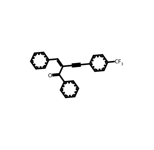 O=C(C(C#Cc1ccc(C(F)(F)F)cc1)=Cc1ccccc1)c1ccccc1